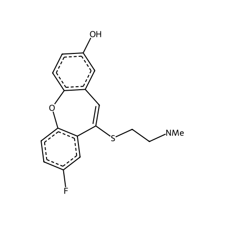 CNCCSC1=Cc2cc(O)ccc2Oc2ccc(F)cc21